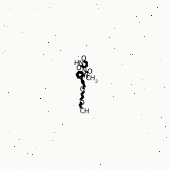 C#CCOCCCCOCC#Cc1cccc2c1n(C)c(=O)n2C1CCC(=O)NC1=O